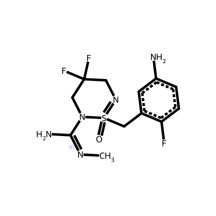 C/N=C(/N)N1CC(F)(F)CN=S1(=O)Cc1cc(N)ccc1F